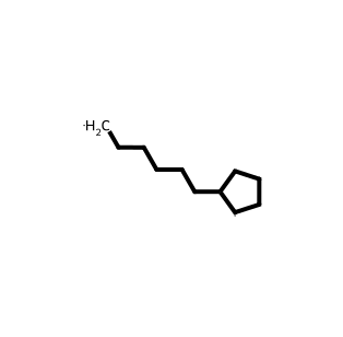 [CH2]CCCCCC1[CH]CCC1